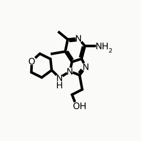 Cc1nc(N)c2nc(CCO)n(NC3CCOCC3)c2c1C